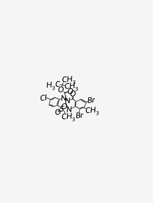 CCS(=O)(=O)c1ccc(Cl)cc1N(C(=O)OC(C)(C)C)n1cnc2c(Br)c(C)c(Br)cc2c1=O